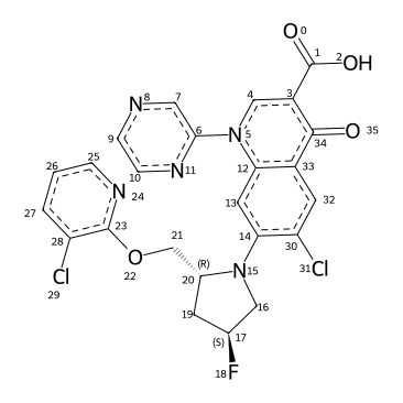 O=C(O)c1cn(-c2cnccn2)c2cc(N3C[C@@H](F)C[C@@H]3COc3ncccc3Cl)c(Cl)cc2c1=O